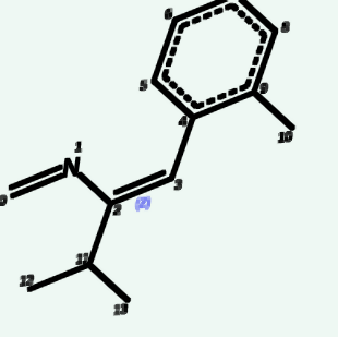 C=N/C(=C\c1ccccc1C)C(C)C